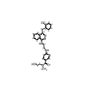 CN(CCO)C(=O)c1ccc(NCCNc2nnc(Cc3ccccc3Cl)c3ccccc23)nc1